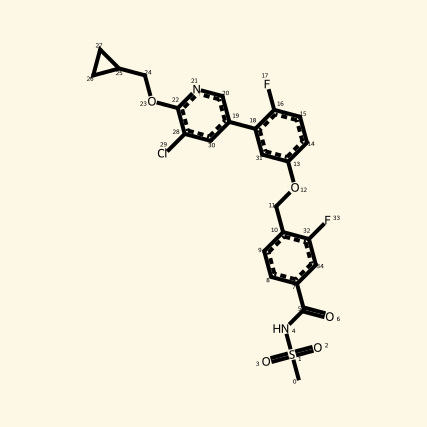 CS(=O)(=O)NC(=O)c1ccc(COc2ccc(F)c(-c3cnc(OCC4CC4)c(Cl)c3)c2)c(F)c1